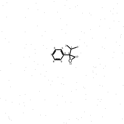 CC(C)C1(c2ccccc2)CO1